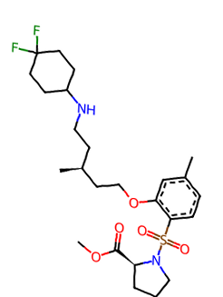 COC(=O)[C@@H]1CCCN1S(=O)(=O)c1ccc(C)cc1OCC[C@@H](C)CCNC1CCC(F)(F)CC1